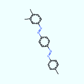 Cc1ccc(N=Nc2ccc(N=Nc3ccc(C)c(C)c3)cc2)cc1